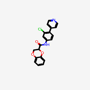 O=C(Nc1ccc(-c2ccncc2)c(Cl)c1)C1COc2ccccc2O1